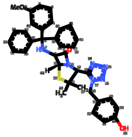 COc1cccc(C(NC2C(=O)N3C(c4nnnn4Cc4ccc(O)cc4)C(C)(C)S[C@H]23)(c2ccccc2)c2ccccc2)c1